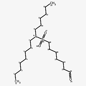 CCCCCCCCN(CCCCCC)S(=O)(=O)CCCCCCC=O